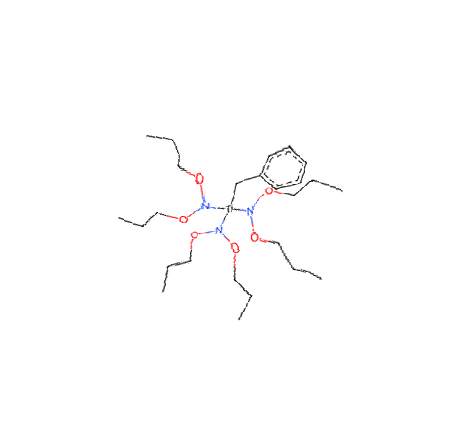 CCCO[N](OCCC)[Ti]([CH2]c1ccccc1)([N](OCCC)OCCC)[N](OCCC)OCCC